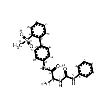 CCC[C@H](NC(=O)Nc1ccccc1)C(=O)Nc1ccc(-c2ccccc2S(C)(=O)=O)cc1